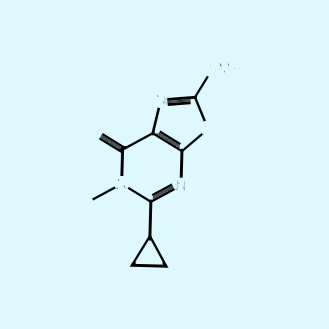 CSc1nc2c(=O)n(C)c(C3CC3)nc2s1